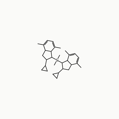 CC1=CC=C(C)C2C1CC(C1CC1)C2[Si](C)(C)C1C(C2CC2)CC2C(C)=CC=C(C)C21